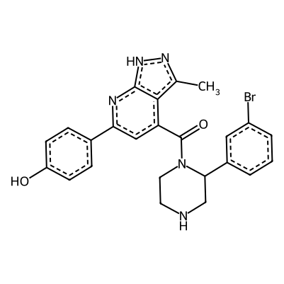 Cc1n[nH]c2nc(-c3ccc(O)cc3)cc(C(=O)N3CCNCC3c3cccc(Br)c3)c12